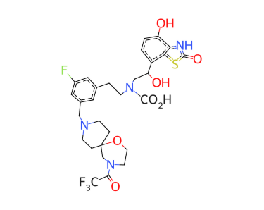 O=C(O)N(CCc1cc(F)cc(CN2CCC3(CC2)CN(C(=O)C(F)(F)F)CCO3)c1)CC(O)c1ccc(O)c2[nH]c(=O)sc12